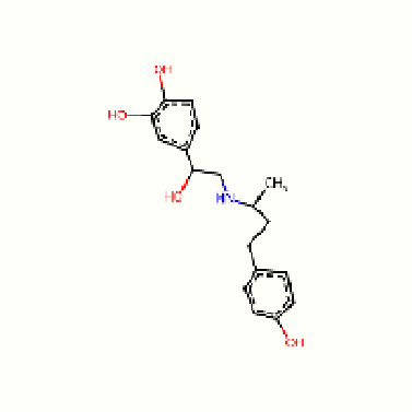 CC(CCc1ccc(O)cc1)NCC(O)c1ccc(O)c(O)c1